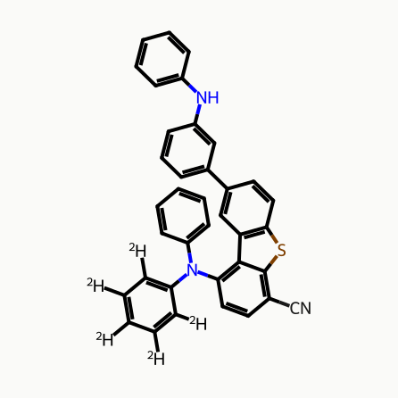 [2H]c1c([2H])c([2H])c(N(c2ccccc2)c2ccc(C#N)c3sc4ccc(-c5cccc(Nc6ccccc6)c5)cc4c23)c([2H])c1[2H]